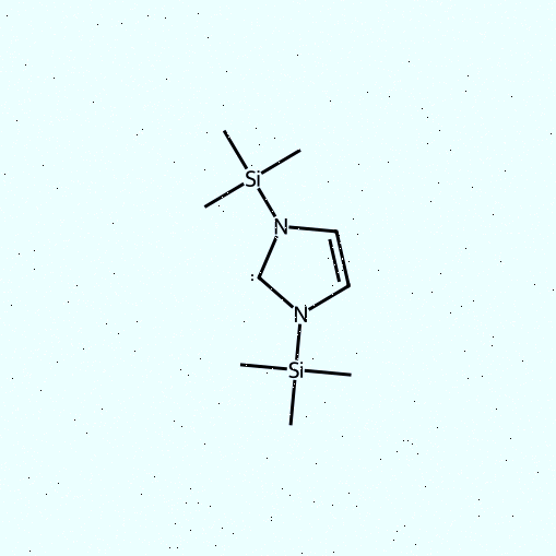 C[Si](C)(C)N1[C]N([Si](C)(C)C)C=C1